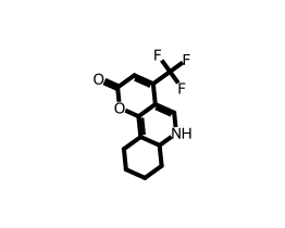 O=c1cc(C(F)(F)F)c2c(o1)=C1CCCCC1NC=2